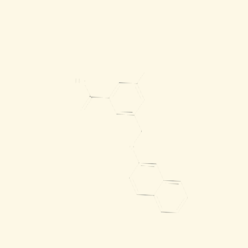 O=C(O)c1cc(F)cc(COc2ccc3ccccc3c2)c1